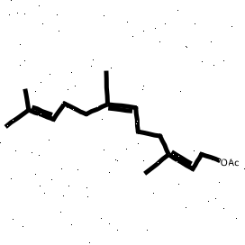 CC(=O)OC/C=C(/C)CC/C=C(/C)CCC=C(C)C